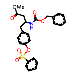 COC(=O)CC(Cc1ccc(OS(=O)(=O)c2ccccc2)cc1)NC(=O)OCc1ccccc1